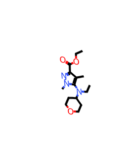 CCOC(=O)c1nn(C)c(N(CC)C2CCOCC2)c1C